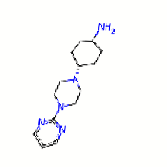 N[C@H]1CC[C@H](N2CCN(c3ncccn3)CC2)CC1